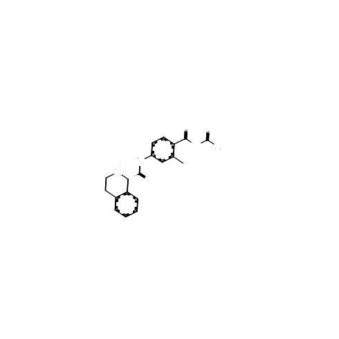 Cc1cc(NC(=O)[C@@H]2NCCc3ccccc32)ccc1C(=O)OC(N)=O